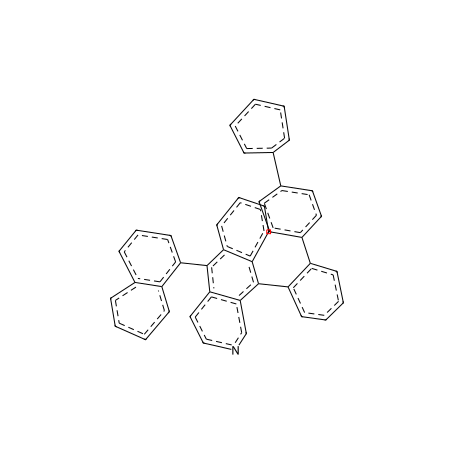 c1ccc(-c2ccc(-c3ccccc3-c3c4ccccc4c(-c4cccc5ccccc45)c4ccncc34)cc2)cc1